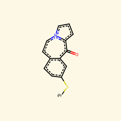 CC(C)Sc1ccc2ccn3cccc3c(=O)c2c1